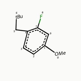 COc1ccc(CC(C)(C)C)c(F)c1